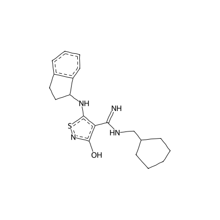 N=C(NCC1CCCCC1)c1c(O)nsc1NC1CCc2ccccc21